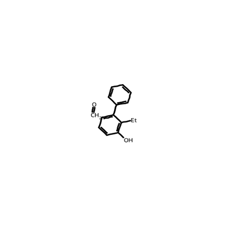 C=O.CCc1c(O)cccc1-c1ccccc1